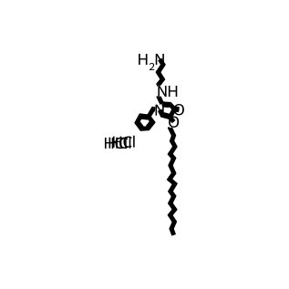 CCCCCCCCCCCCCCCCCCOc1cn(Cc2ccccc2)c(CNCCCCN)cc1=O.Cl.Cl.Cl